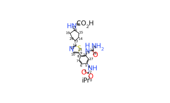 CC(C)OC(=O)Nc1ccc(-c2cnc([C@H]3CC[C@H](NC(=O)O)CC3)s2)c(NC(N)=O)c1